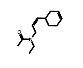 CCN(C/C=C\C1CC=CCC1)C(C)=O